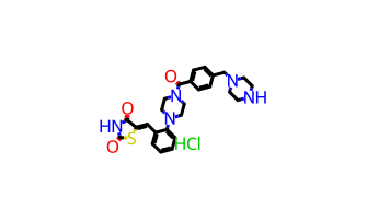 Cl.O=C1NC(=O)C(=Cc2ccccc2N2CCN(C(=O)c3ccc(CN4CCNCC4)cc3)CC2)S1